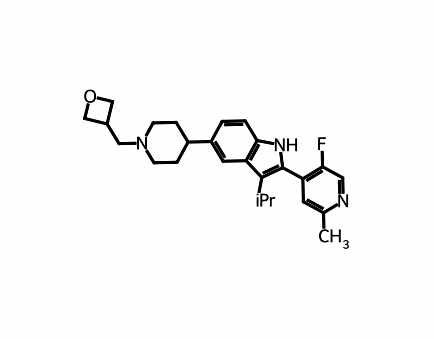 Cc1cc(-c2[nH]c3ccc(C4CCN(CC5COC5)CC4)cc3c2C(C)C)c(F)cn1